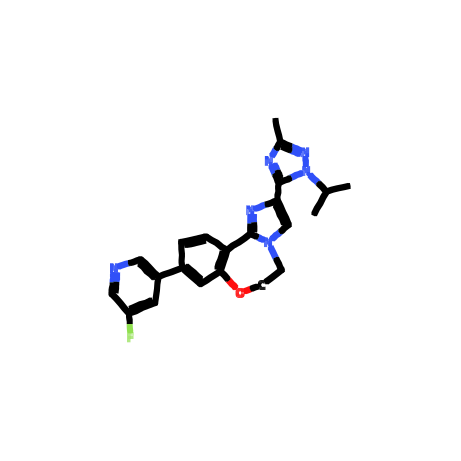 Cc1nc(-c2cn3c(n2)-c2ccc(-c4cncc(F)c4)cc2OCC3)n(C(C)C)n1